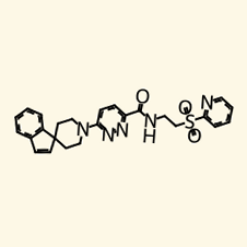 O=C(NCCS(=O)(=O)c1ccccn1)c1ccc(N2CCC3(C=Cc4ccccc43)CC2)nn1